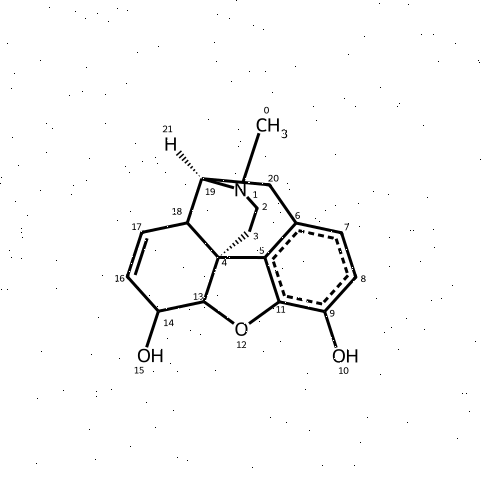 CN1CC[C@]23c4c5ccc(O)c4OC2C(O)C=CC3[C@H]1C5